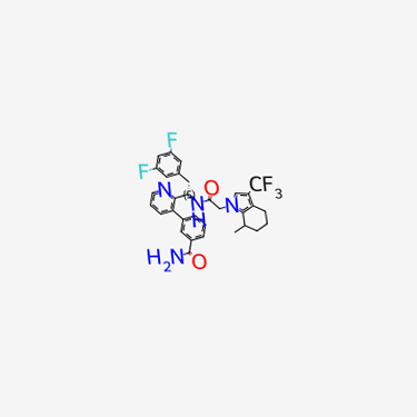 CC1CCCc2c(C(F)(F)F)cn(CC(=O)N[C@@H](Cc3cc(F)cc(F)c3)c3ncccc3-c3cccc(C(N)=O)c3)c21